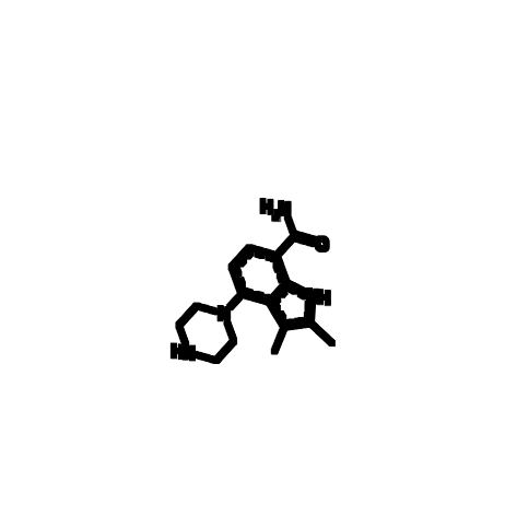 Cc1[nH]c2c(C(N)=O)ccc(N3CCNCC3)c2c1C